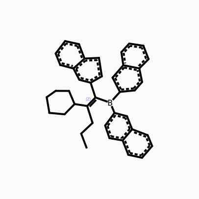 CCC/C(=C(\B(c1ccc2ccccc2c1)c1ccc2ccccc2c1)c1ccc2ccccc2c1)C1CCCCC1